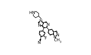 Cn1ncc2cc(-c3ncc4c(ncn4CC4CCNCC4)c3-c3ccc(C#N)c(F)c3)ccc21